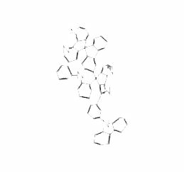 c1ccc(N2c3ccccc3C3(c4cc5c(cc42)C2(c4ccccc4-5)c4cccnc4-c4ncccc42)c2cccnc2-c2ncc(-c4cccc(-n5c6ccccc6c6ccccc65)c4)cc23)cc1